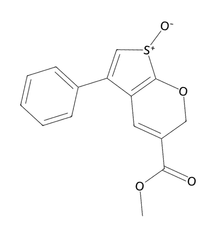 COC(=O)C1=Cc2c(-c3ccccc3)c[s+]([O-])c2OC1